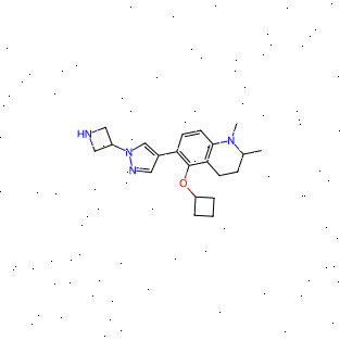 CC1CCc2c(ccc(-c3cnn(C4CNC4)c3)c2OC2CCC2)N1C